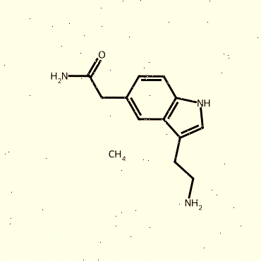 C.NCCc1c[nH]c2ccc(CC(N)=O)cc12